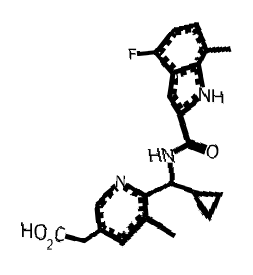 Cc1cc(CC(=O)O)cnc1C(NC(=O)c1cc2c(F)ccc(C)c2[nH]1)C1CC1